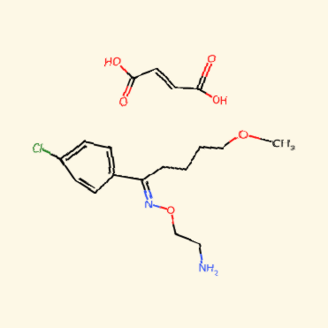 COCCCC/C(=N\OCCN)c1ccc(Cl)cc1.O=C(O)/C=C/C(=O)O